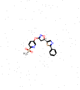 CS(=O)(=O)c1ccc(OC2=NO[C@@H](c3cnc(-c4ccccc4)s3)C2)cn1